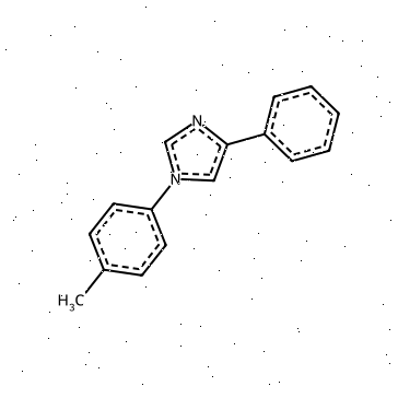 Cc1ccc(-n2cnc(-c3ccccc3)c2)cc1